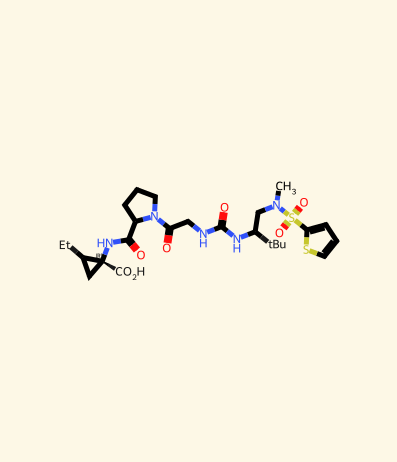 CCC1C[C@]1(NC(=O)C1CCCN1C(=O)CNC(=O)NC(CN(C)S(=O)(=O)c1cccs1)C(C)(C)C)C(=O)O